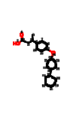 CC(CC(=O)O)c1ccc(Oc2ccc(-c3ccccc3)cc2)cc1